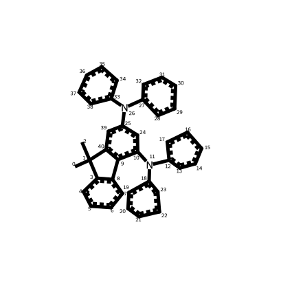 CC1(C)c2ccccc2-c2c(N(c3ccccc3)c3ccccc3)cc(N(c3ccccc3)c3ccccc3)cc21